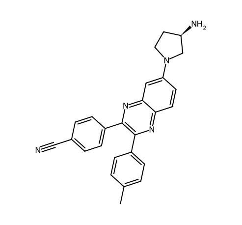 Cc1ccc(-c2nc3ccc(N4CC[C@@H](N)C4)cc3nc2-c2ccc(C#N)cc2)cc1